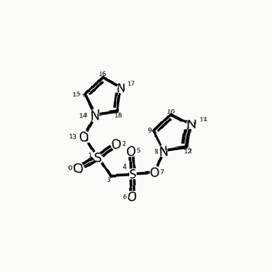 O=S(=O)(CS(=O)(=O)On1ccnc1)On1ccnc1